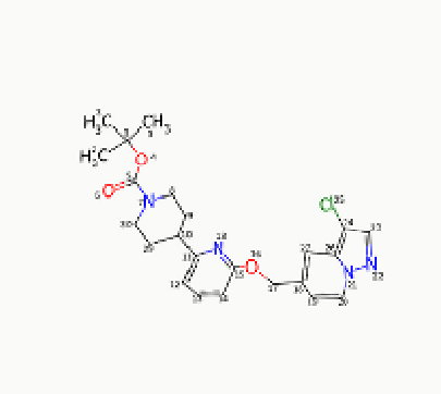 CC(C)(C)OC(=O)N1CCC(c2cccc(OCc3ccn4ncc(Cl)c4c3)n2)CC1